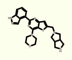 c1cc(-c2nc(N3CCOCC3)c3sc(CN4CC5CNCC5C4)cc3n2)c2cn[nH]c2c1